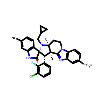 N#Cc1ccc2c(c1)NC(=O)[C@]21[C@@H](c2cccc(Cl)c2F)[C@@H]2c3nc4cc(C(=O)O)ccc4n3CC[C@@H]2N1CC1CC1